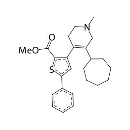 COC(=O)c1sc(-c2ccccc2)cc1C1=C(C2CCCCCC2)CN(C)CC1